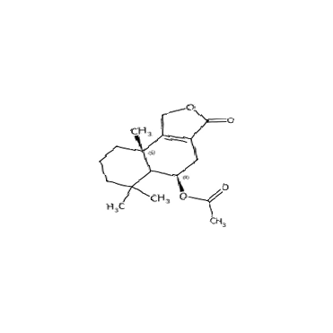 CC(=O)O[C@@H]1CC2=C(COC2=O)[C@@]2(C)CCCC(C)(C)C12